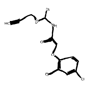 C#CCOC(C#N)NC(=O)COc1ccc(Cl)cc1Cl